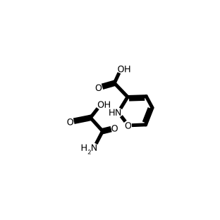 NC(=O)C(=O)O.O=C(O)C1=CC=CON1